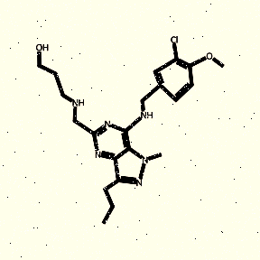 CCCc1nn(C)c2c(NCc3ccc(OC)c(Cl)c3)nc(CNCCCO)nc12